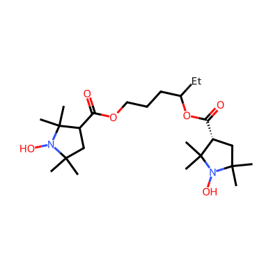 CCC(CCCOC(=O)C1CC(C)(C)N(O)C1(C)C)OC(=O)[C@@H]1CC(C)(C)N(O)C1(C)C